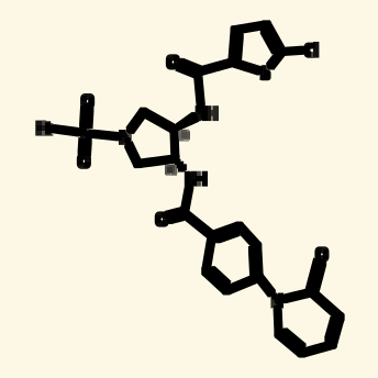 CCS(=O)(=O)N1C[C@@H](NC(=O)c2ccc(-n3ccccc3=O)cc2)[C@H](NC(=O)c2ccc(Cl)s2)C1